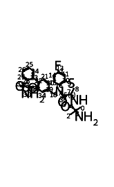 CC(C)(N)C(=O)N[C@@H]1CSc2cc(F)ccc2N(Cc2ccc(-c3ccccc3S(N)(=O)=O)cc2)C1=O